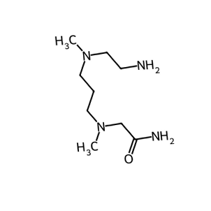 CN(CCN)CCCN(C)CC(N)=O